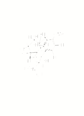 [2H]c1c([2H])c([C@@]([2H])(C([2H])([2H])N(C)C)C2(O)C([2H])([2H])C([2H])([2H])C([2H])([2H])C([2H])([2H])C2([2H])[2H])c([2H])c([2H])c1OC